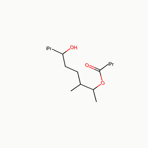 CC(C)C(=O)OC(C)C(C)CCC(O)C(C)C